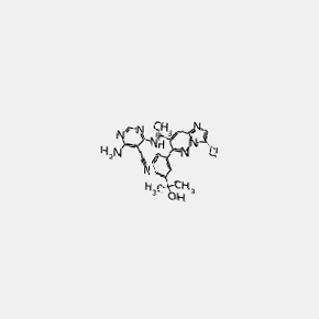 C[C@@H](Nc1ncnc(N)c1C#N)c1cc2ncc(Cl)n2nc1-c1cccc(C(C)(C)O)c1